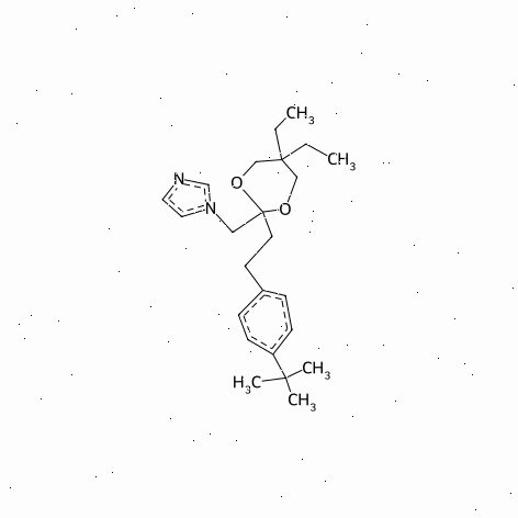 CCC1(CC)COC(CCc2ccc(C(C)(C)C)cc2)(Cn2ccnc2)OC1